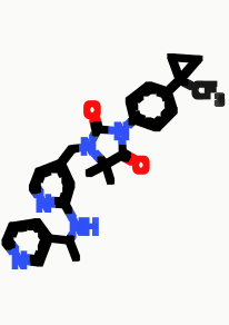 CC(Nc1cc(CN2C(=O)N(c3ccc(C4(C(F)(F)F)CC4)cc3)C(=O)C2(C)C)ccn1)c1cccnc1